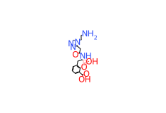 NCCn1cnnc1CC(=O)N[C@H]1Cc2cccc(C(=O)O)c2OB1O